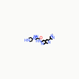 Cn1cc(-c2cc3cc(NC(=O)c4cn(C5CCNCC5)nn4)ncc3cn2)cn1